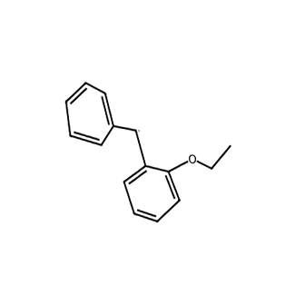 CCOc1ccccc1[CH]c1ccccc1